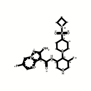 Nc1nn2cc(F)cnc2c1C(=O)NC1CNCC(F)C1N1CCC(S(=O)(=O)N2CCC2)CC1